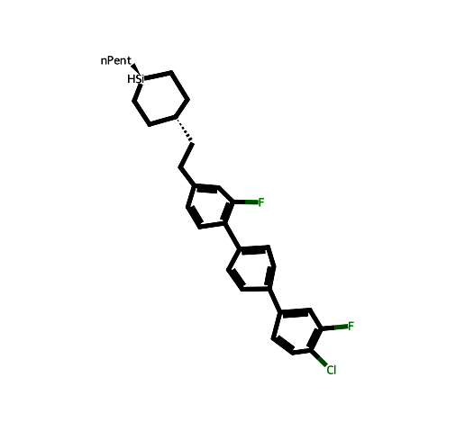 CCCCC[Si@H]1CC[C@H](CCc2ccc(-c3ccc(-c4ccc(Cl)c(F)c4)cc3)c(F)c2)CC1